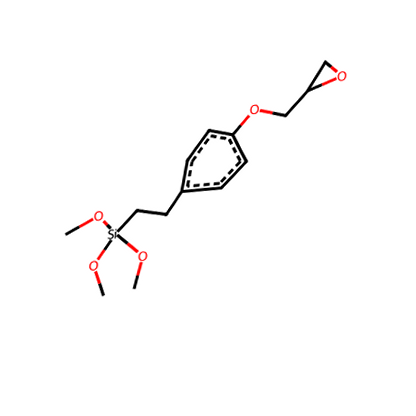 CO[Si](CCc1ccc(OCC2CO2)cc1)(OC)OC